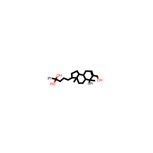 CCCC1(C)C(CO)=CCC2C1CCC1(C)C(CCCC(O)(O)C(C)C)CCC21